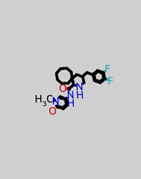 Cn1cc(NC(=O)C2NCC(Cc3ccc(F)c(F)c3)CC23CCCCCCC3)ccc1=O